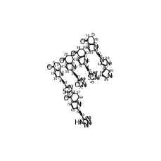 O=C1CCCc2nc(C#Cc3nccs3)ccc21.O=C1CCCc2nc(C#Cc3nnco3)ccc21.O=C1CCCc2nc(C#Cc3nncs3)ccc21.O=C1CCCc2nc(C#Cc3nnn[nH]3)ccc21.O=C1CCCc2nc(C#Cn3cnc(-c4cccnc4)c3)ccc21